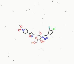 CCOC(=O)N1CCC(c2cc(C[C@H]3O[C@H](CO)[C@H](O)[C@H](n4cc(-c5ccc(Cl)c(F)c5)nn4)[C@H]3OC)no2)CC1